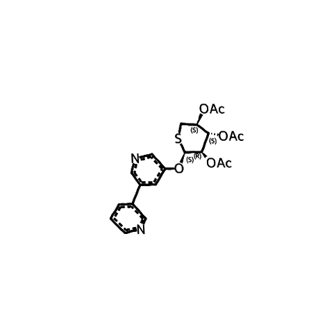 CC(=O)O[C@@H]1[C@@H](OC(C)=O)[C@@H](Oc2cncc(-c3cccnc3)c2)SC[C@H]1OC(C)=O